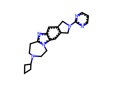 c1cnc(N2Cc3cc4nc5n(c4cc3C2)CCN(C2CCC2)CC5)nc1